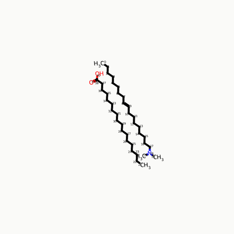 CCCCCCCCC=CCCCCCCCCN(C)C.CCCCCCCCCCCCCCCCCC(=O)O